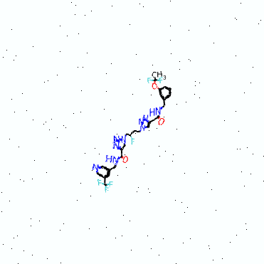 CC(F)(F)Oc1cccc(CNC(=O)c2cn(CCC(F)Cn3cc(C(=O)NCc4cncc(C(F)(F)F)c4)nn3)nn2)c1